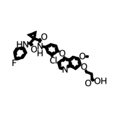 COc1cc2c(Oc3ccc(NC(=O)C4(C(=O)Nc5ccc(F)cc5)CC4)cc3Cl)ccnc2cc1OCCC(=O)O